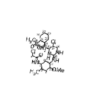 COC1CC(C)C(NC(=O)CCl)CC1NC1NCC(Cl)C(NC2CCCCC2P(C)(C)=O)N1